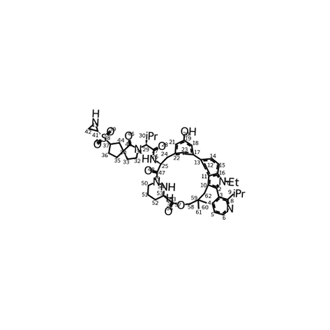 CCn1c(-c2cccnc2C(C)C)c2c3cc(ccc31)-c1cc(O)cc(c1)C[C@H](NC(=O)[C@H](C(C)C)N1CC[C@]3(CCC(S(=O)(=O)[C@@H]4CN4)C3)C1=O)C(=O)N1CCC[C@H](N1)C(=O)OCC(C)(C)C2